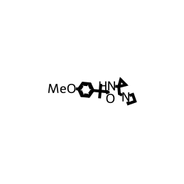 COc1ccc(C(C)(C)C(=O)NC2(CN3CCC3)CC2)cc1